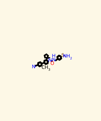 Cc1cc(C#N)ccc1-c1ccc2c(c1)C1(CCCC1)CN2C(=O)NCc1ccc(SN)cc1